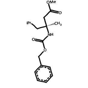 COC(=O)C[C@](C)(CC(C)C)NC(=O)OCc1ccccc1